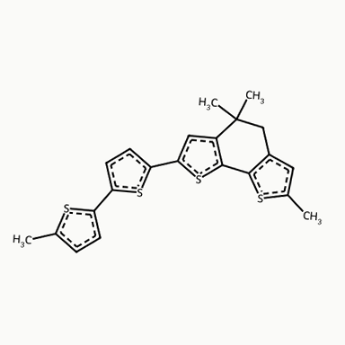 Cc1ccc(-c2ccc(-c3cc4c(s3)-c3sc(C)cc3CC4(C)C)s2)s1